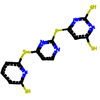 Sc1cccc(Sc2ccnc(Sc3cc(S)nc(S)n3)n2)n1